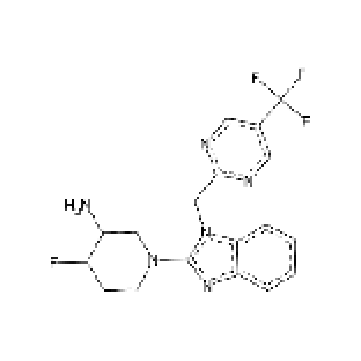 NC1CN(c2nc3ccccc3n2Cc2ncc(C(F)(F)F)cn2)CCC1F